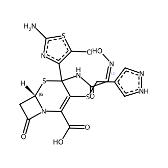 Nc1nc(C2(NC(=O)/C=N\O)S[C@H]3CC(=O)N3C(C(=O)O)=C2SCc2cn[nH]c2)c(Cl)s1